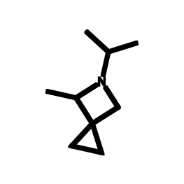 CC(C)N1CC2(CC2)C1C